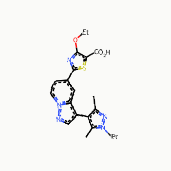 CCOc1nc(-c2ccn3ncc(-c4c(C)nn(C(C)C)c4C)c3c2)sc1C(=O)O